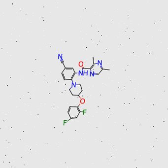 Cc1cnc(C(=O)Nc2cc(C#N)ccc2N2CCC(Oc3ccc(F)cc3F)CC2)c(C)n1